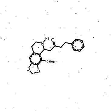 CCN1CCc2cc3c(c(OC)c2C1CC(=O)CCc1ccccc1)OCO3